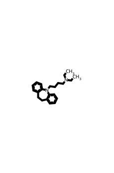 CCN(CC)CCCCN1c2ccccc2CCc2ccccc21